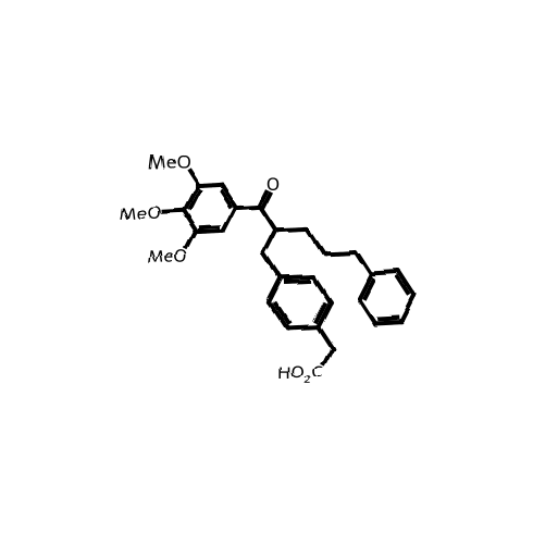 COc1cc(C(=O)C(CCCc2ccccc2)Cc2ccc(CC(=O)O)cc2)cc(OC)c1OC